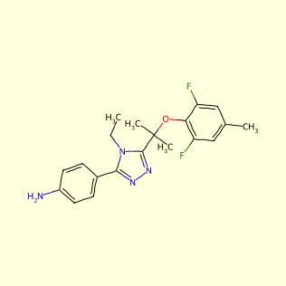 CCn1c(-c2ccc(N)cc2)nnc1C(C)(C)Oc1c(F)cc(C)cc1F